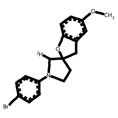 [2H]C1N(c2ccc(Br)cc2)CCC12Cc1cc(OC)ccc1O2